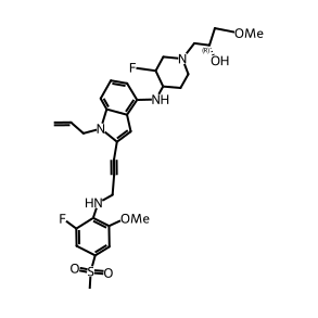 C=CCn1c(C#CCNc2c(F)cc(S(C)(=O)=O)cc2OC)cc2c(NC3CCN(C[C@@H](O)COC)CC3F)cccc21